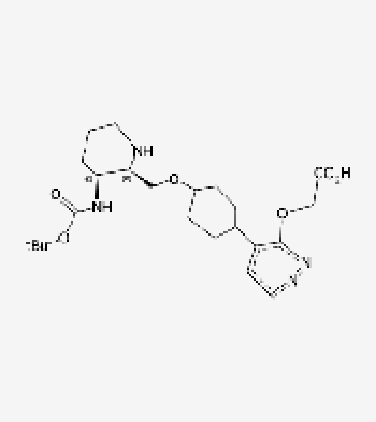 CC(C)(C)OC(=O)N[C@H]1CCCN[C@H]1COC1CCC(c2ccnnc2OCC(=O)O)CC1